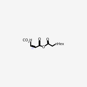 CCCCCCCC(=O)OC(=O)/C=C\C(=O)O